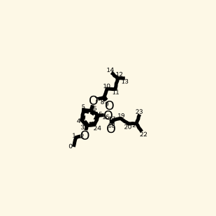 CCOc1ccc(OC(=O)CCC(C)C)c(OC(=O)CCC(C)C)c1